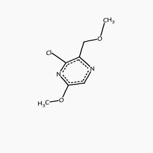 COCc1ncc(OC)nc1Cl